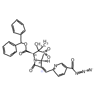 CC1(C)[C@H](C(=O)OC(c2ccccc2)c2ccccc2)N2C(=O)/C(=C/c3ccc(C(=O)N=[N+]=[N-])cn3)[C@H]2S1(=O)=O